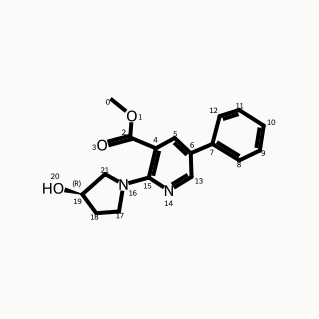 COC(=O)c1cc(-c2ccccc2)cnc1N1CC[C@@H](O)C1